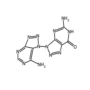 Nc1nc2c(nnn2-n2nnc3ncnc(N)c32)c(=O)[nH]1